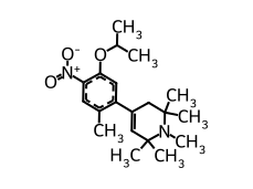 Cc1cc([N+](=O)[O-])c(OC(C)C)cc1C1=CC(C)(C)N(C)C(C)(C)C1